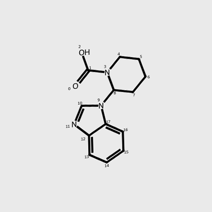 O=C(O)N1CCCCC1n1cnc2ccccc21